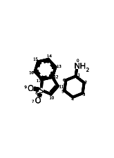 NC1CCCCC1.O=S1(=O)C=Cc2ccccc21